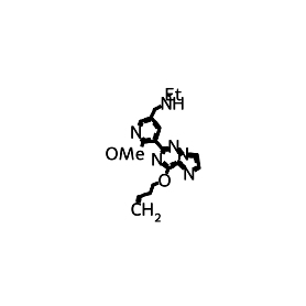 C=CCCOc1nc(-c2cc(CNCC)cnc2OC)nn2ccnc12